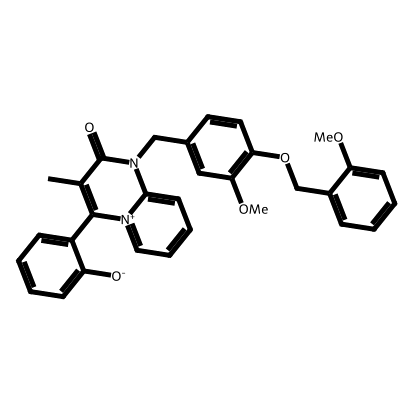 COc1ccccc1COc1ccc(Cn2c(=O)c(C)c(-c3ccccc3[O-])[n+]3ccccc23)cc1OC